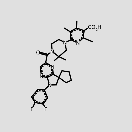 Cc1nc(N2CCN(C(=O)c3cnc4c(n3)C3(CCCC3)CN4c3ccc(F)c(F)c3)C(C)(C)C2)c(C)c(C)c1C(=O)O